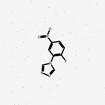 O=[N+]([O-])c1ccc(F)c(-n2cnnc2)c1